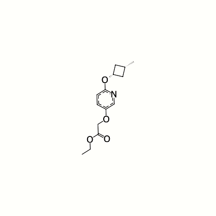 CCOC(=O)COc1ccc(O[C@H]2C[C@@H](C)C2)nc1